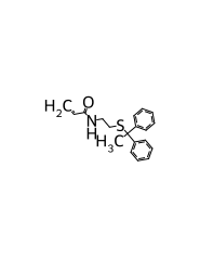 C=CC(=O)NCCSC(C)(c1ccccc1)c1ccccc1